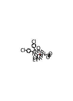 CCOc1nc(C)ncc1C1=NC(c2ccc(Cl)cc2)C(c2ccc(Cl)cc2)N1C(=O)N1CCN(CCS(C)(=O)=O)CC1